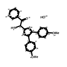 COc1ccc(-c2nc(C(N)C(=O)c3cccnc3)sc2-c2ccc(OC)cc2)cc1.Cl